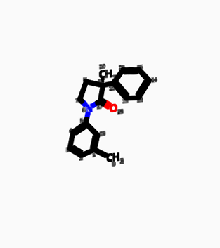 Cc1cccc(N2CC[C@@](C)(c3ccccc3)C2=O)c1